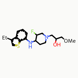 CCc1csc2c(NC3CCN(CC(O)COC)CC3F)cccc12